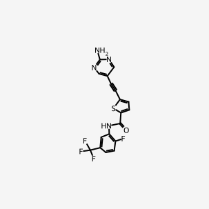 Nc1ncc(C#Cc2ccc(C(=O)Nc3cc(C(F)(F)F)ccc3F)s2)cn1